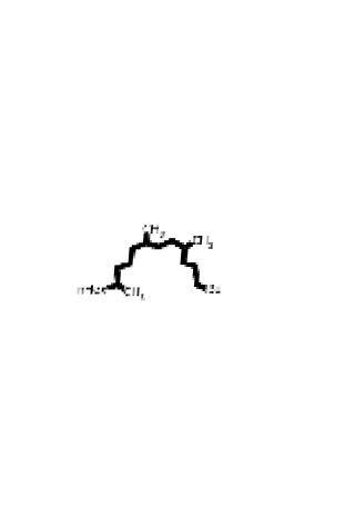 CCCCCCC(C)CCCC(C)CCC(C)CCCC(C)CC